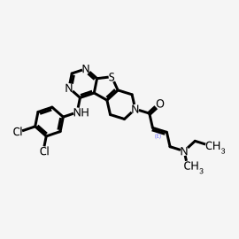 CCN(C)C/C=C/C(=O)N1CCc2c(sc3ncnc(Nc4ccc(Cl)c(Cl)c4)c23)C1